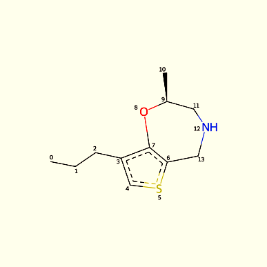 CCCc1csc2c1O[C@@H](C)CNC2